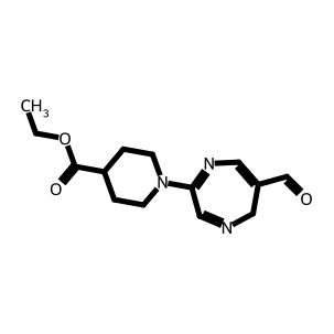 CCOC(=O)C1CCN(C2=NC=C(C=O)CN=C2)CC1